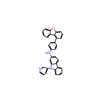 c1cncc(-n2c3ccccc3c3ccc(Nc4ccc(-c5cccc6oc7ccccc7c56)cc4)cc32)c1